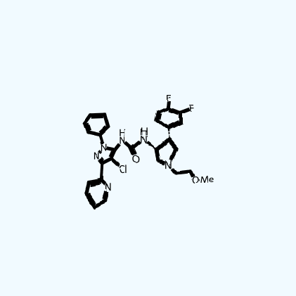 COCCN1C[C@@H](NC(=O)Nc2c(Cl)c(-c3ccccn3)nn2-c2ccccc2)[C@H](c2ccc(F)c(F)c2)C1